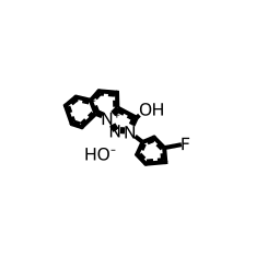 Oc1c2ccc3ccccc3[n+]2nn1-c1cccc(F)c1.[OH-]